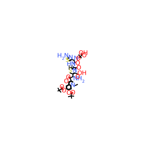 CCn1cc(C(=O)C(N)C2=C(C(=O)O)N3C(=O)C(NC(=O)/C(=N\OC(C)(C)C(=O)O)c4csc(N)n4)[C@H]3SC2)c(=O)c2cc(OC(=O)C(C)(C)C)c(OC(=O)C(C)(C)C)cc21